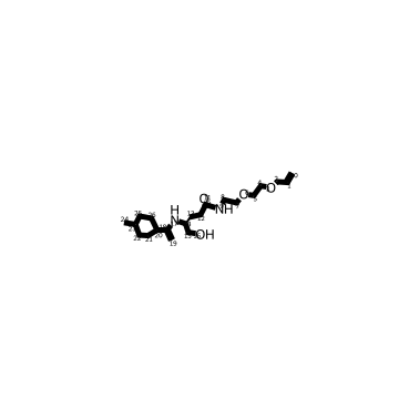 C=CCOCCOCCNC(=O)CC[C@@H](CO)NC(=C)C1CCC(C)CC1